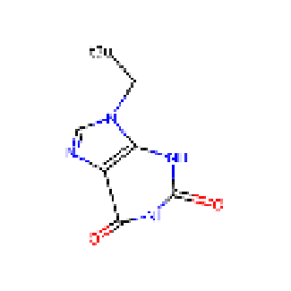 CC(C)(C)Cn1cnc2c(=O)[nH]c(=O)[nH]c21